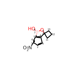 O=[N+]([O-])c1ccc2c(c1)B(O)OC21CCC1